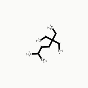 CCC(CO)(CO)CCC(C)C